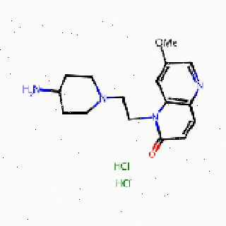 COc1cnc2ccc(=O)n(CCN3CCC(N)CC3)c2c1.Cl.Cl